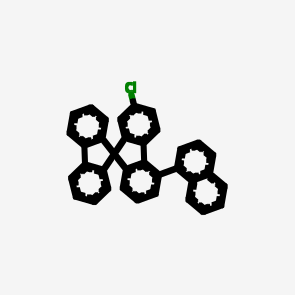 Clc1ccc2c(c1)C1(c3ccccc3-c3ccccc31)c1cccc(-c3cccc4ccccc34)c1-2